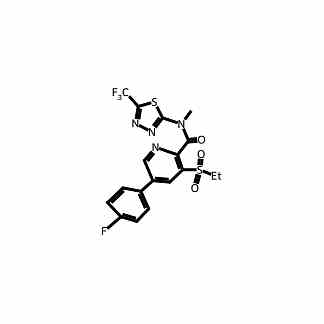 CCS(=O)(=O)c1cc(-c2ccc(F)cc2)cnc1C(=O)N(C)c1nnc(C(F)(F)F)s1